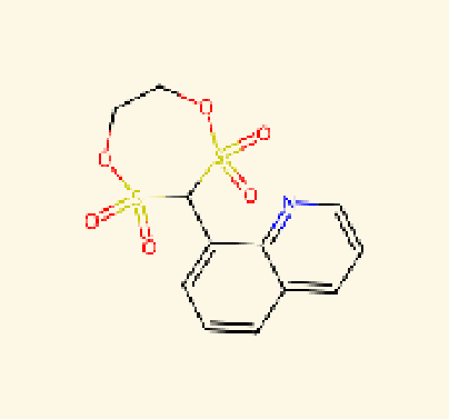 O=S1(=O)OCCOS(=O)(=O)C1c1cccc2cccnc12